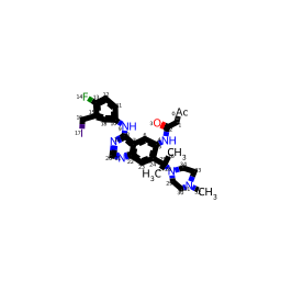 CC(=O)CC(=O)Nc1cc2c(Nc3ccc(F)c(CI)c3)ncnc2cc1C(C)(C)N1CCN(C)CC1